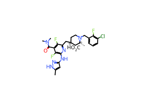 Cc1cc(Nc2nc(C[C@@]3(C(=O)O)CCN(Cc4cccc(Cl)c4F)[C@H](C)C3)c(F)c(C(=O)N(C)C)c2F)n[nH]1